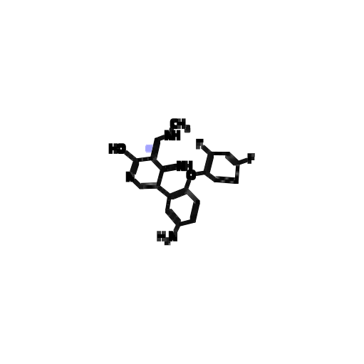 CN/C=C1\C(=N)C(c2cc(N)ccc2Oc2ccc(F)cc2F)=CN=C1O